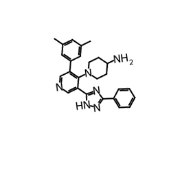 Cc1cc(C)cc(-c2cncc(-c3nc(-c4ccccc4)n[nH]3)c2N2CCC(N)CC2)c1